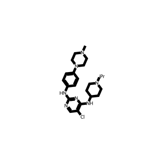 CC(C)N1CCC(Nc2nc(Nc3ccc(N4CCN(C)CC4)cc3)ncc2Cl)CC1